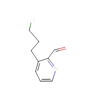 O=Cc1ncccc1CCCCl